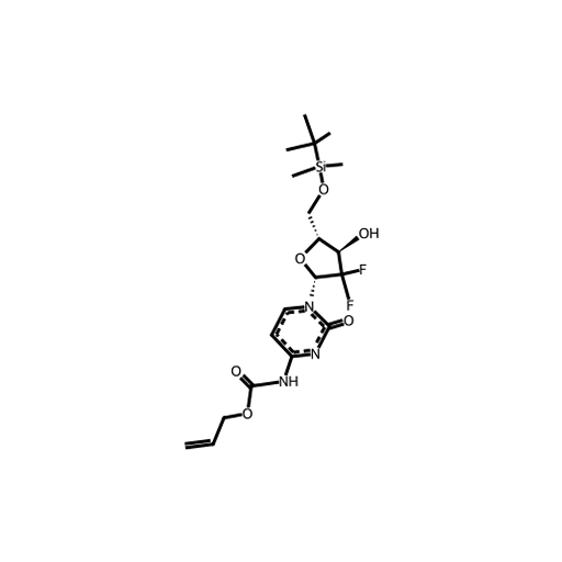 C=CCOC(=O)Nc1ccn([C@@H]2O[C@H](CO[Si](C)(C)C(C)(C)C)[C@@H](O)C2(F)F)c(=O)n1